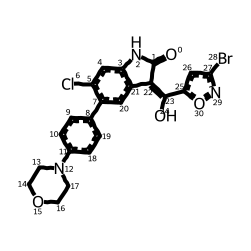 O=C1Nc2cc(Cl)c(-c3ccc(N4CCOCC4)cc3)cc2C1=C(O)c1cc(Br)no1